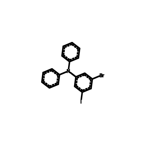 Brc1cc(I)cc(N(c2ccccc2)c2ccccc2)c1